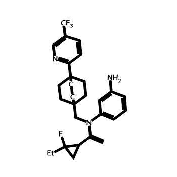 C=C(C1CC1(F)CC)N(CC12CCC(c3ccc(C(F)(F)F)cn3)(CC1)CC2)c1cccc(N)c1